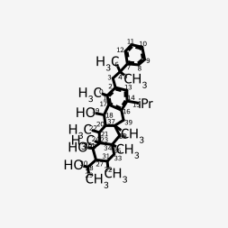 Cc1c(CC(C)(C)c2ccccc2)cc(C(C)C)c2c1C(O)C1C(C)C3(C)C(O)C(C(C)O)C(C)CC3(C)CC1(C)C2